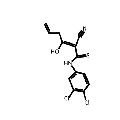 C=CCC(O)=C(C#N)C(=S)Nc1ccc(Cl)c(Cl)c1